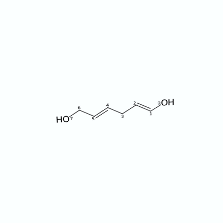 O/C=C/C/C=C/CO